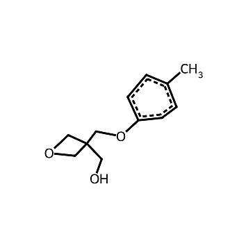 Cc1ccc(OCC2(CO)COC2)cc1